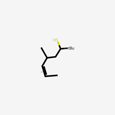 C/C=C\C(C)CC(S)C(C)(C)C